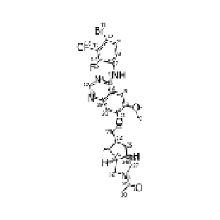 COc1cc2c(Nc3ccc(Br)c(Cl)c3F)ncnc2cc1OCC1C[C@@H]2CN(C(C)=O)C[C@@H]2C1